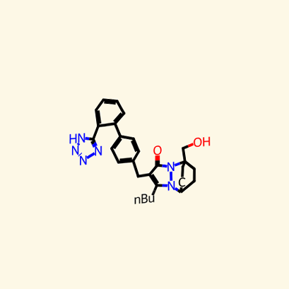 CCCCc1c(Cc2ccc(-c3ccccc3-c3nnn[nH]3)cc2)c(=O)n2n1C1CCC2(CO)CC1